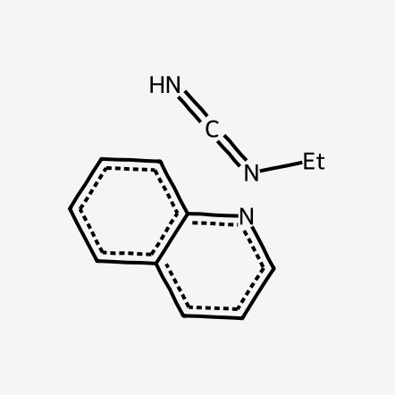 CCN=C=N.c1ccc2ncccc2c1